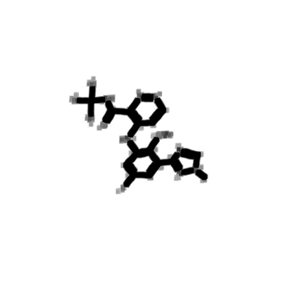 [2H]C([2H])([2H])NC(=O)c1nnccc1Nc1cc(F)cc(-c2ncn(C)n2)c1OC